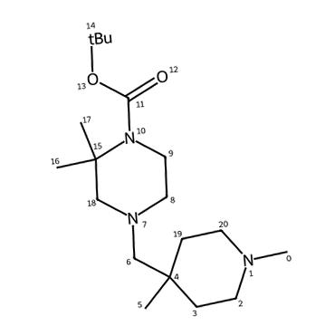 CN1CCC(C)(CN2CCN(C(=O)OC(C)(C)C)C(C)(C)C2)CC1